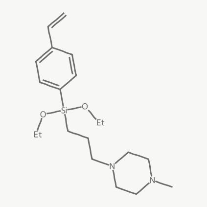 C=Cc1ccc([Si](CCCN2CCN(C)CC2)(OCC)OCC)cc1